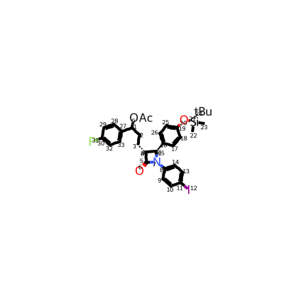 CC(=O)OC(CC[C@H]1C(=O)N(c2ccc(I)cc2)[C@@H]1c1ccc(O[Si](C)(C)C(C)(C)C)cc1)c1ccc(F)cc1